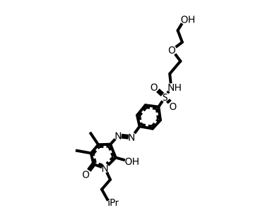 Cc1c(/N=N/c2ccc(S(=O)(=O)NCCOCCO)cc2)c(O)n(CCC(C)C)c(=O)c1C